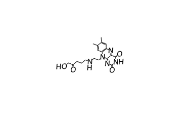 Cc1cc2nc3c(=O)[nH]c(=O)nc-3n(CCNCCCC(=O)CO)c2cc1C